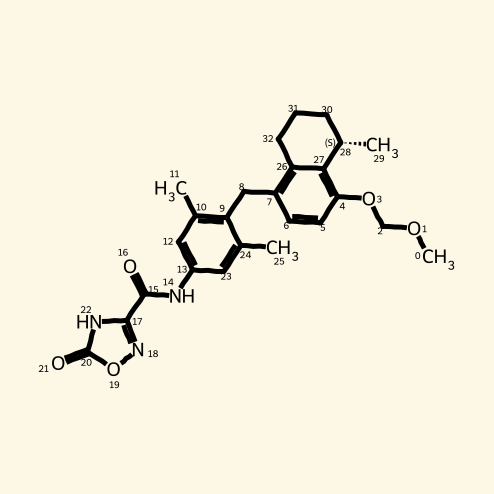 COCOc1ccc(Cc2c(C)cc(NC(=O)c3noc(=O)[nH]3)cc2C)c2c1[C@@H](C)CCC2